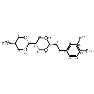 CCC[C@H]1CO[C@H]([C@H]2CO[C@H](CCc3ccc(F)c(F)c3)OC2)OC1